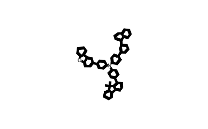 CC1(C)c2ccccc2-c2cccc(-c3ccc(N(c4ccc(-c5cccc(-c6cccc7ccccc67)c5)cc4)c4ccc(-c5ccc6oc7ccccc7c6c5)cc4)cc3)c21